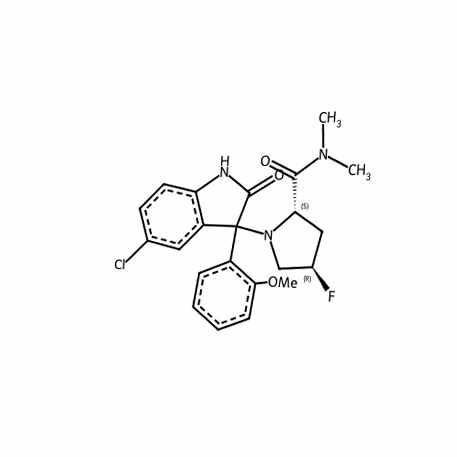 COc1ccccc1C1(N2C[C@H](F)C[C@H]2C(=O)N(C)C)C(=O)Nc2ccc(Cl)cc21